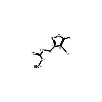 Cc1onc(CNC(=O)OC(C)(C)C)c1I